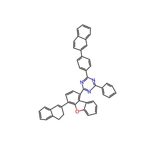 C1=C(c2ccc(-c3nc(-c4ccccc4)nc(-c4ccc(-c5ccc6ccccc6c5)cc4)n3)c3c2oc2ccccc23)CCc2ccccc21